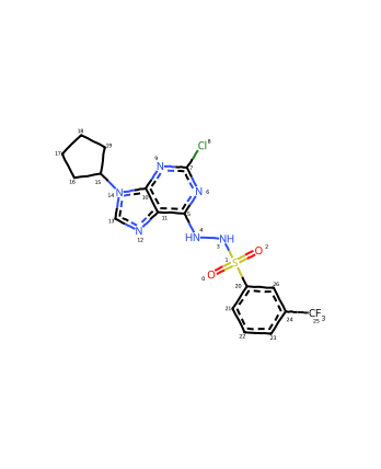 O=S(=O)(NNc1nc(Cl)nc2c1ncn2C1CCCC1)c1cccc(C(F)(F)F)c1